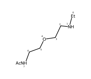 CCNCCOCCNC(C)=O